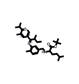 C/C=C(\C=C(\C)C(=O)C(C)C)C(=N/c1cc(CNC(CCC(C)C)C(=O)OC(C)(C)C)ccc1C)/C(C)CC